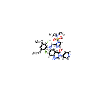 COc1cc(OC)c(F)c(N(Cc2nccn2S(=O)(=O)N(C)C)c2ccc3ncn(-c4ccncc4)c(=O)c3c2)c1F